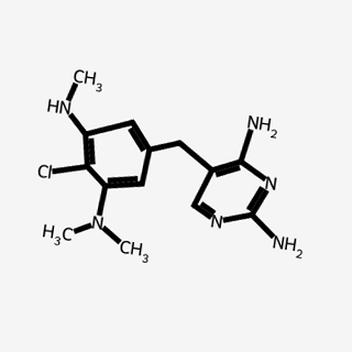 CNc1cc(Cc2cnc(N)nc2N)cc(N(C)C)c1Cl